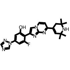 CC1(C)C=C(c2ccn3cc(-c4c(O)cc(-n5cncn5)cc4F)nc3n2)CC(C)(C)N1